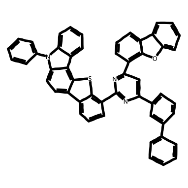 c1ccc(-c2cccc(-c3cc(-c4cccc5c4oc4ccccc45)nc(-c4cccc5c4sc4c5ccc5c4c4ccccc4n5-c4ccccc4)n3)c2)cc1